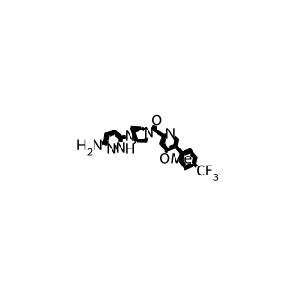 COc1cc(C(=O)N2C[C@@H]3CC2CN3c2ccc(N)nn2)ncc1-c1ccc(C(F)(F)F)cc1